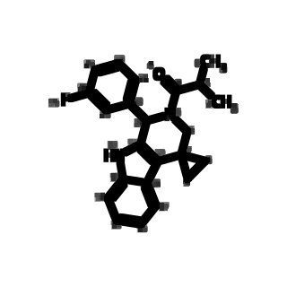 CC(C)C(=O)N1CC2(CC2)c2c([nH]c3ccccc23)C1c1cccc(F)c1